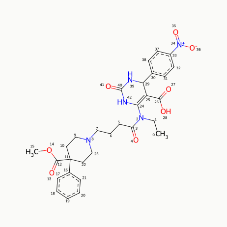 CCN(C(=O)CCCN1CCC(C(=O)OC)(c2ccccc2)CC1)C1=C(C(=O)O)C(c2ccc([N+](=O)[O-])cc2)NC(=O)N1